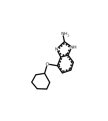 Nc1nc2c(OC3CCCCC3)cccc2[nH]1